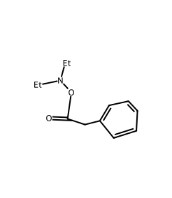 CCN(CC)OC(=O)Cc1ccccc1